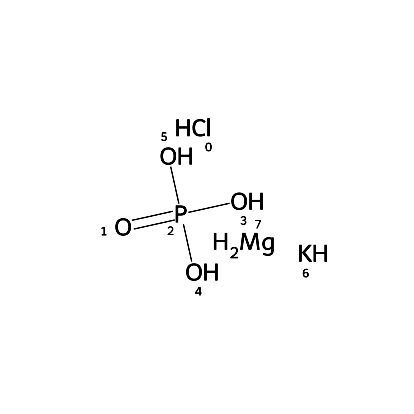 Cl.O=P(O)(O)O.[KH].[MgH2]